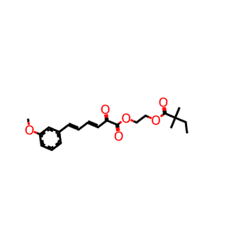 CCC(C)(C)C(=O)OCCOC(=O)C(=O)/C=C/C=C/c1cccc(OC)c1